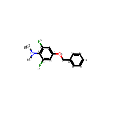 CCCN(CC)c1c(F)cc(OCc2ccccc2)cc1F